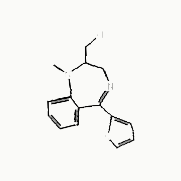 CN1c2ccccc2C(c2cccs2)=NCC1CCl